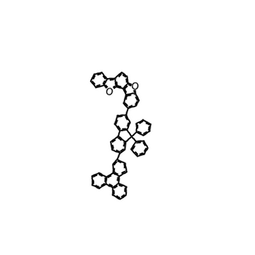 c1ccc(C2(c3ccccc3)c3cc(-c4ccc5c6ccccc6c6ccccc6c5c4)ccc3-c3ccc(-c4ccc5oc6ccc7c8ccccc8oc7c6c5c4)cc32)cc1